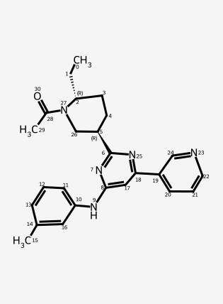 CC[C@@H]1CC[C@@H](c2nc(Nc3cccc(C)c3)cc(-c3cccnc3)n2)CN1C(C)=O